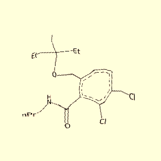 CCCNC(=O)c1c(OC(C)(CC)CC)ccc(Cl)c1Cl